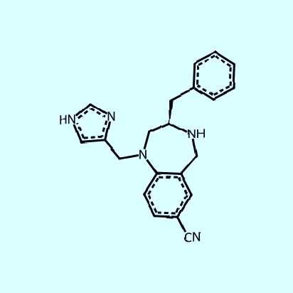 N#Cc1ccc2c(c1)CN[C@H](Cc1ccccc1)CN2Cc1c[nH]cn1